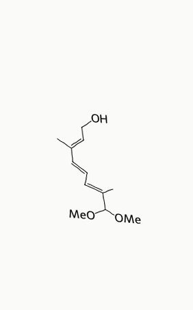 COC(OC)C(C)=CC=CC(C)=CCO